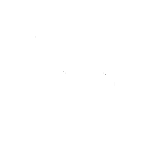 CCOC(=O)CCN(CCC(=O)O)CCN(CC)CC